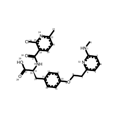 CNc1cccc(CCOc2ccc(C[C@H](NC(=O)c3ccc(C)nc3Cl)C(=O)O)cc2)n1